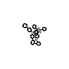 c1ccc(-c2ccc(-n3c4ccccc4c4cc(-c5cccc6c7ccccc7n(-c7ccc(-c8nc(-c9ccccc9)nc(-c9ccccc9)n8)cc7)c56)ccc43)cc2)cc1